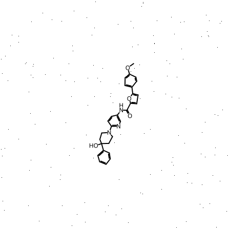 COc1ccc(-c2ccc(C(=O)Nc3ccc(N4CCC(O)(c5ccccc5)CC4)nc3)o2)cc1